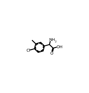 Cc1cc(C(N)C(=O)O)ccc1Cl